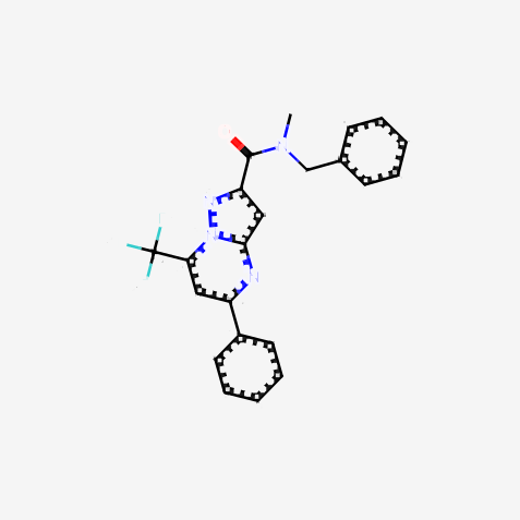 CN(Cc1ccccc1)C(=O)c1cc2nc(-c3ccccc3)cc(C(F)(F)F)n2n1